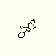 Cn1c(-c2ccccc2)cs/c1=N\c1scc[n+]1C